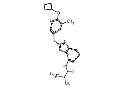 Cc1cc(Cn2cc3c(NC(=O)C(C)C)nccc3n2)cnc1OC1CCC1